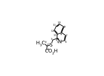 CC(SCc1nccc2ccccc12)C(=O)O